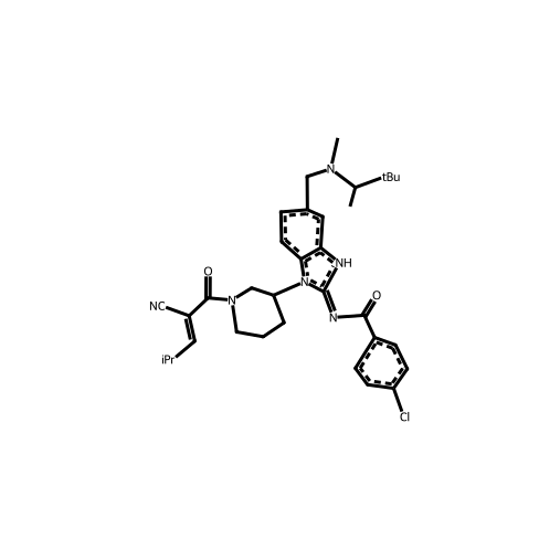 CC(C)C=C(C#N)C(=O)N1CCCC(n2c(=NC(=O)c3ccc(Cl)cc3)[nH]c3cc(CN(C)C(C)C(C)(C)C)ccc32)C1